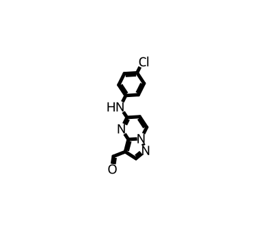 O=Cc1cnn2ccc(Nc3ccc(Cl)cc3)nc12